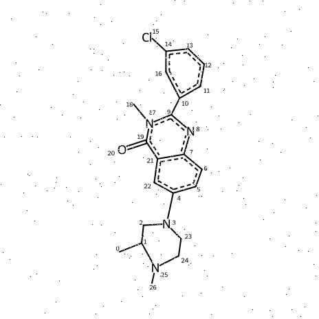 CC1CN(c2ccc3nc(-c4cccc(Cl)c4)n(C)c(=O)c3c2)CCN1C